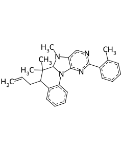 C=CCC1c2ccccc2N2c3nc(-c4ccccc4C)ncc3N(C)C2C1(C)C